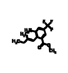 CC/C(C)=C/c1c(N)cc(C(F)(F)F)cc1C(=O)OC